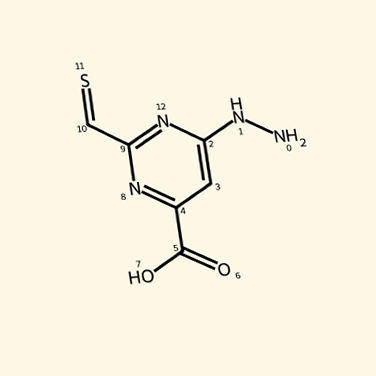 NNc1cc(C(=O)O)nc(C=S)n1